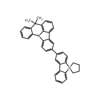 CC1(C)c2ccccc2-n2c3ccc(-c4ccc5c(c4)-c4ccccc4[Si]54CCCC4)cc3c3cccc1c32